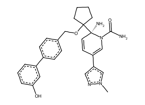 Cn1cc(C2=CN(C(N)=O)[C@](N)(C3(OCc4ccc(-c5cccc(O)c5)cc4)CCCC3)C=C2)cn1